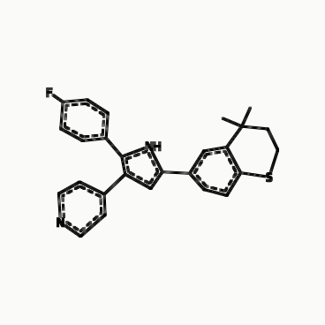 CC1(C)CCSc2ccc(-c3cc(-c4ccncc4)c(-c4ccc(F)cc4)[nH]3)cc21